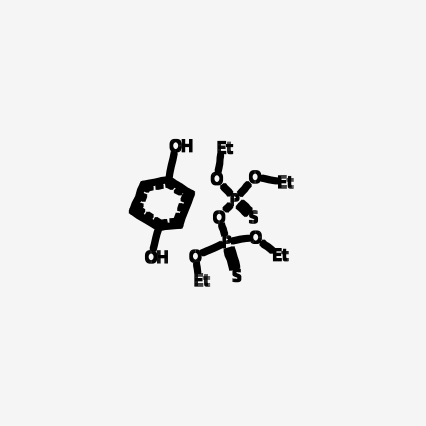 CCOP(=S)(OCC)OP(=S)(OCC)OCC.Oc1ccc(O)cc1